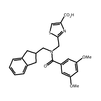 COc1cc(OC)cc(C(=O)N(Cc2nc(C(=O)O)cs2)CC2Cc3ccccc3C2)c1